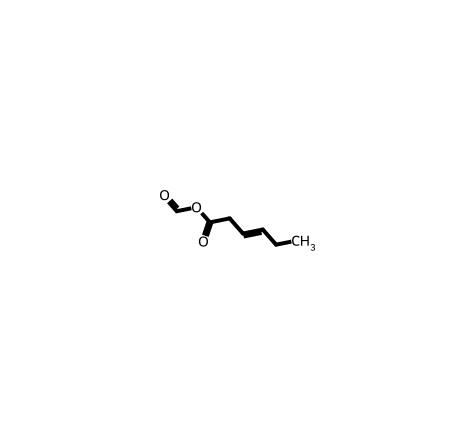 CCC=CCC(=O)OC=O